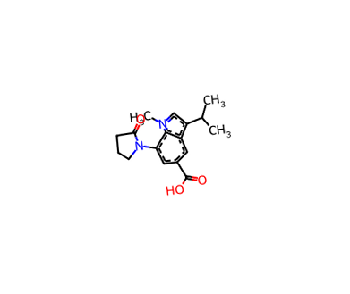 CC(C)c1cn(C)c2c(N3CCCC3=O)cc(C(=O)O)cc12